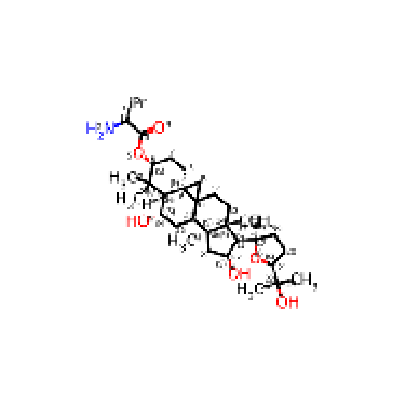 CC(C)C(N)C(=O)O[C@H]1CC[C@]23CC24CC[C@]2(C)[C@@H]([C@@]5(C)CC[C@@H](C(C)(C)O)O5)[C@@H](O)C[C@@]2(C)C4C[C@H](O)[C@H]3C1(C)C